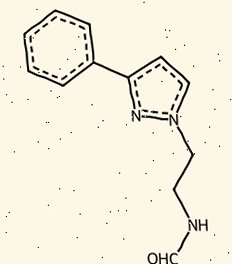 O=CNCCn1ccc(-c2ccccc2)n1